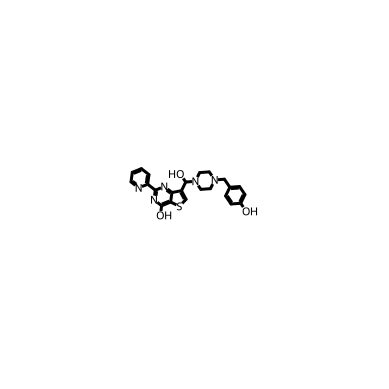 Oc1ccc(CN2CCN(C(O)c3csc4c(O)nc(-c5ccccn5)nc34)CC2)cc1